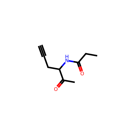 C#CCC(NC(=O)CC)C(C)=O